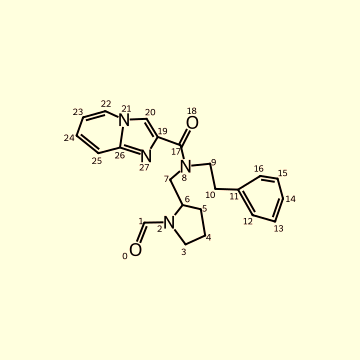 O=CN1CCCC1CN(CCc1ccccc1)C(=O)c1cn2ccccc2n1